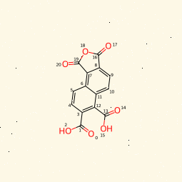 O=C(O)c1ccc2c3c(ccc2c1C(=O)O)C(=O)OC3=O